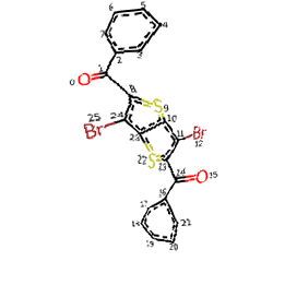 O=C(c1ccccc1)c1sc2c(Br)c(C(=O)c3ccccc3)sc2c1Br